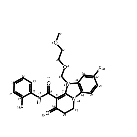 COCCOCN1C2=C(C(=O)Nc3ccccc3F)C(=O)CCN2c2ccc(F)cc21